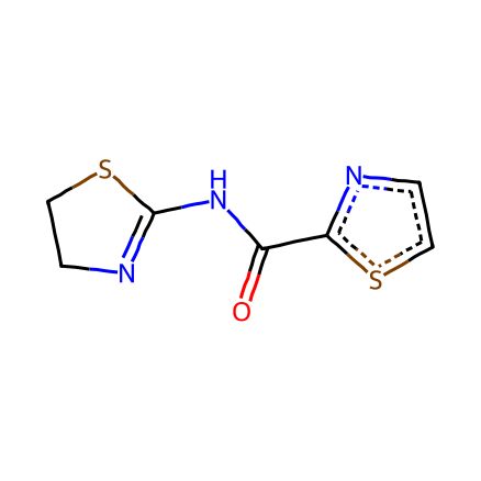 O=C(NC1=NCCS1)c1nccs1